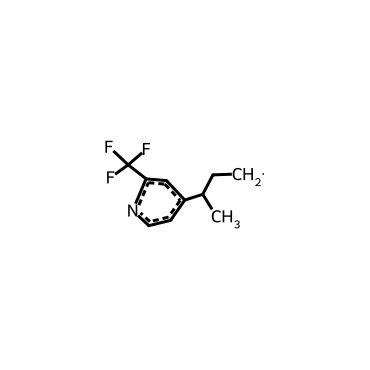 [CH2]CC(C)c1ccnc(C(F)(F)F)c1